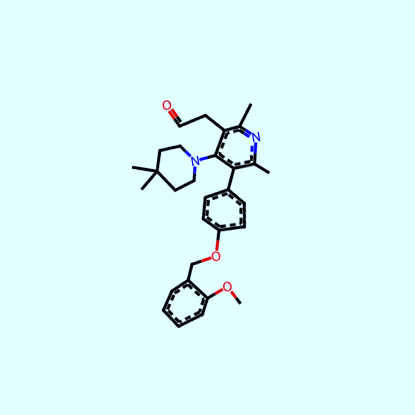 COc1ccccc1COc1ccc(-c2c(C)nc(C)c(CC=O)c2N2CCC(C)(C)CC2)cc1